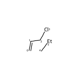 C=CCCl.CCC